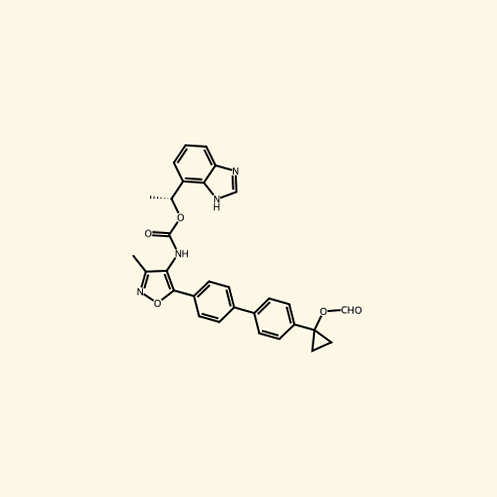 Cc1noc(-c2ccc(-c3ccc(C4(OC=O)CC4)cc3)cc2)c1NC(=O)O[C@H](C)c1cccc2nc[nH]c12